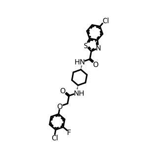 O=C(COc1ccc(Cl)c(F)c1)N[C@H]1CC[C@@H](NC(=O)c2nc3cc(Cl)ccc3s2)CC1